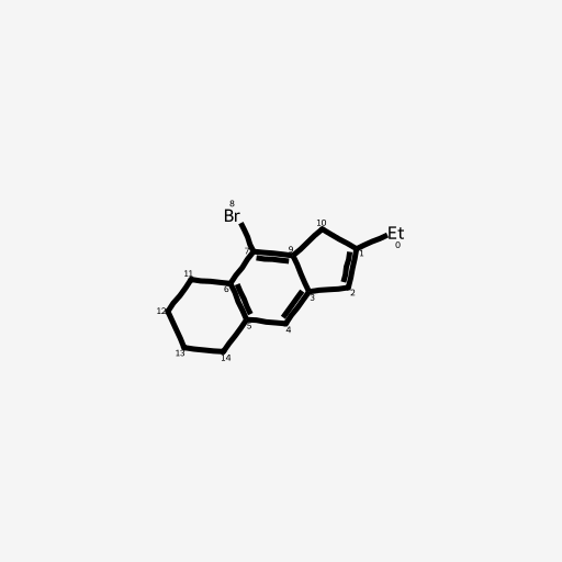 CCC1=Cc2cc3c(c(Br)c2C1)CCCC3